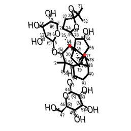 CC1(C)[C@@H](O[C@@H]2OC[C@@H](O)C(O)[C@H]2O)CC[C@]23C[C@@]2(CC[C@]2(C)[C@@H]([C@@]4(C)CC[C@]5(OC5(C)C)O4)[C@@H](O)CC2(C)C)CC[C@H](O[C@@H]2O[C@H](CO)[C@@H](O)[C@H](O)[C@H]2O)[C@@H]13